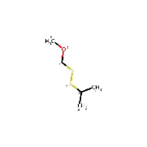 COCSSC(C)C